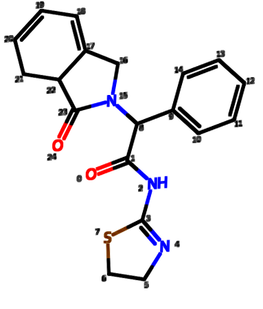 O=C(NC1=NCCS1)C(c1ccccc1)N1CC2=CC=CCC2C1=O